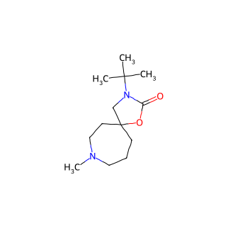 CN1CCCC2(CC1)CN(C(C)(C)C)C(=O)O2